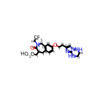 O=C(O)CC1Cc2ccc(OCCc3cn4c(n3)NCCN4)cc2CN(CC(F)(F)F)C1=O